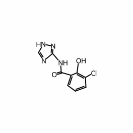 O=C(Nc1nc[nH]n1)c1cccc(Cl)c1O